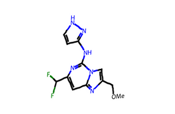 COCc1cn2c(Nc3cc[nH]n3)nc(C(F)F)cc2n1